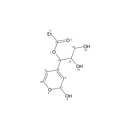 CCC(=O)OC(C1=[C]C(O)OC=C1)C(O)CO